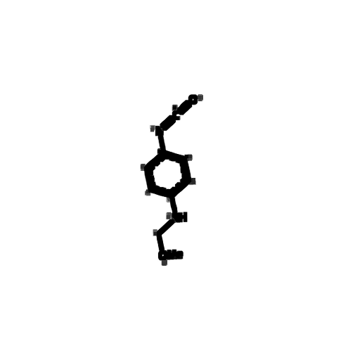 COCNc1ccc(N=C=O)cc1